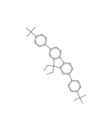 CCC1(CC)c2cc(-c3ccc(C(C)(C)C)cc3)ccc2-c2ccc(-c3ccc(C(C)(C)C)cc3)cc21